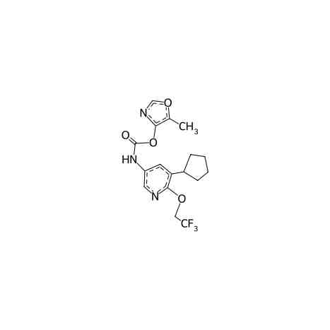 Cc1ocnc1OC(=O)Nc1cnc(OCC(F)(F)F)c(C2CCCC2)c1